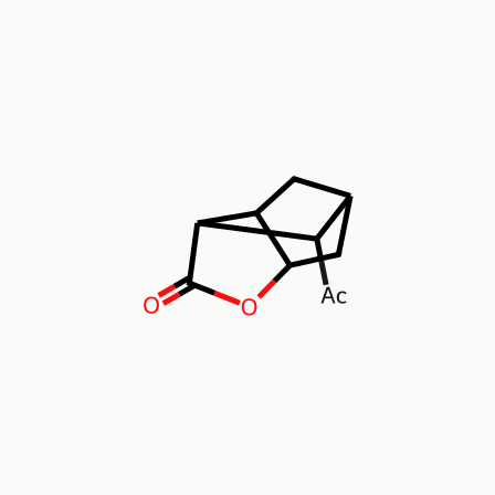 CC(=O)C1C2CC3OC(=O)C1C3C2